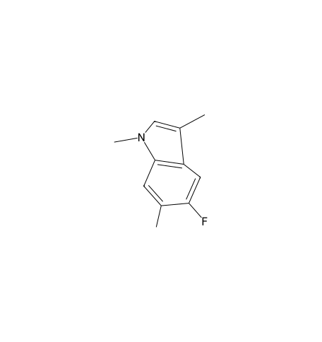 Cc1cc2c(cc1F)c(C)cn2C